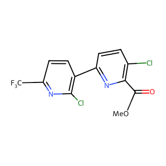 COC(=O)c1nc(-c2ccc(C(F)(F)F)nc2Cl)ccc1Cl